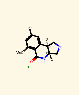 CCc1cc(OC)c2c(c1)[C@H]1CNC[C@@H]1NC2=O.Cl